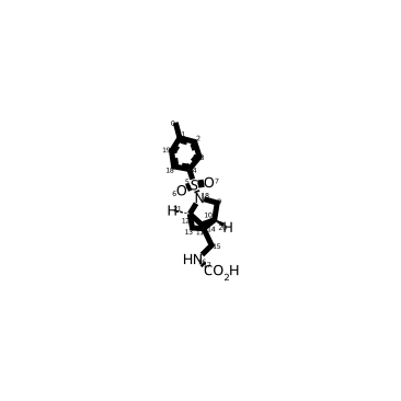 Cc1ccc(S(=O)(=O)N2C[C@H]3C[C@H]2CC3CNC(=O)O)cc1